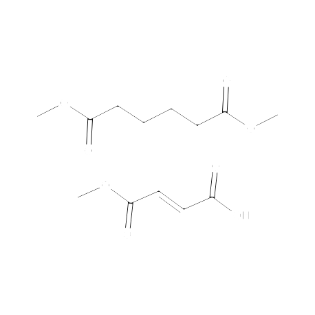 COC(=O)/C=C/C(=O)O.COC(=O)CCCCC(=O)OC